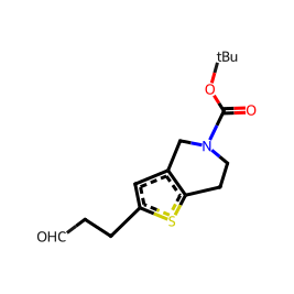 CC(C)(C)OC(=O)N1CCc2sc(CCC=O)cc2C1